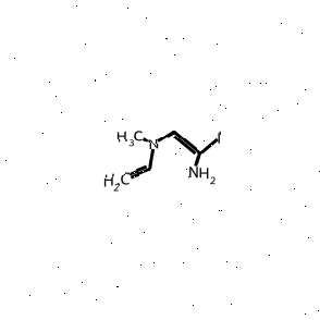 C=CN(C)/C=C(\N)I